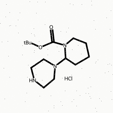 CC(C)(C)OC(=O)N1CCCCC1N1CCNCC1.Cl